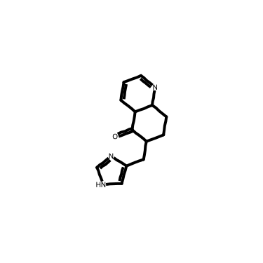 O=C1C(Cc2c[nH]cn2)CCC2N=CC=CC12